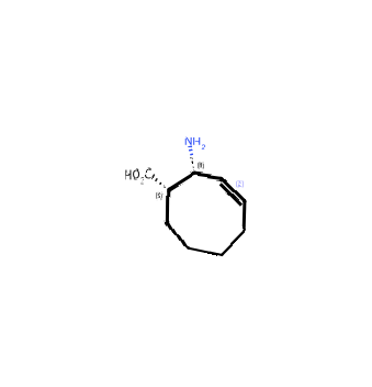 N[C@@H]1/C=C\CCCC[C@@H]1C(=O)O